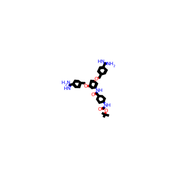 CC(C)(C)OC(=O)NC1CCC(C(=O)Nc2cc(OCc3ccc(C(=N)N)cc3)cc(OCc3ccc(C(=N)N)cc3)c2)CC1